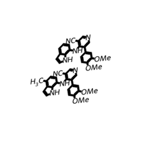 COc1ccc(-c2cncc(C#N)c2Nc2ccc(C)c3cc[nH]c23)cc1OC.COc1ccc(-c2cncc(C#N)c2Nc2cccc3cc[nH]c23)cc1OC